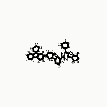 CC1=C2Sc3c(-c4ccccc4)nc(-c4cccc5c4SC4C=CC(c6ccc7c(c6)C6(CCCCC6)c6ccccc6-7)=C[C@]54C)nc3C2CC=C1